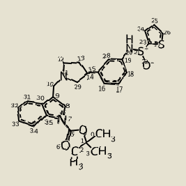 CC(C)(C)OC(=O)n1cc(CN2CCC(c3cccc(N[S+]([O-])c4cccs4)c3)C2)c2ccccc21